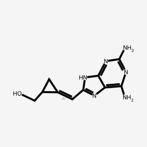 Nc1nc(N)c2nc(/C=C3\CC3CO)[nH]c2n1